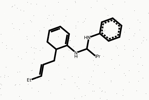 CCC=CCC1CC=CC=C1NC(Nc1ccccc1)C(C)C